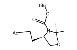 CC(=O)CC[C@@H]1COC(C)(C)N1C(=O)OC(C)(C)C